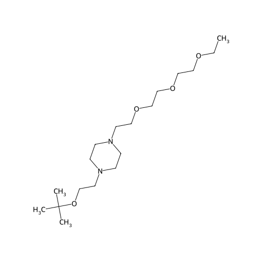 CCOCCOCCOCCN1CCN(CCOC(C)(C)C)CC1